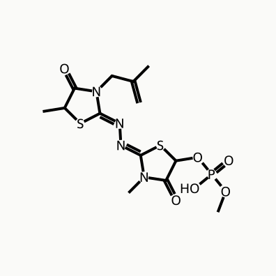 C=C(C)CN1C(=O)C(C)S/C1=N\N=C1/SC(OP(=O)(O)OC)C(=O)N1C